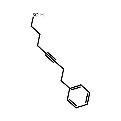 O=S(=O)(O)CCCC#CCCc1ccccc1